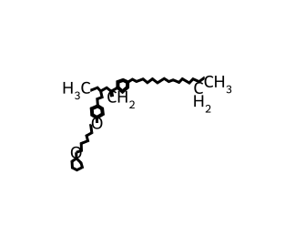 C=C(CC)CCCCCCCCCCCCCc1ccc(C(=C)CC(CCC)CCc2ccc(OCCCCCCOC3CCCCC3)cc2)cc1